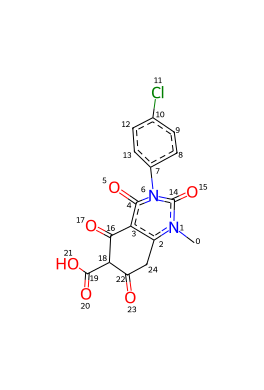 Cn1c2c(c(=O)n(-c3ccc(Cl)cc3)c1=O)C(=O)C(C(=O)O)C(=O)C2